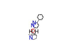 C[C@H]1[C@H](Oc2ccc(-c3ccccc3)nn2)C2CCN1CC2